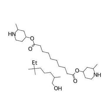 CC1CC(OC(=O)CCCCCCCCC(=O)OC2CCNC(C)C2)CCN1.CCC(C)(C)CCCC(C)CO